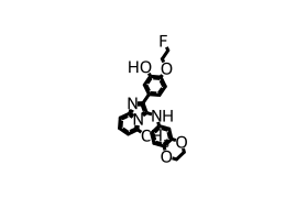 Cc1cccc2nc(-c3ccc(OCCF)c(O)c3)c(Nc3ccc4c(c3)OCCO4)n12